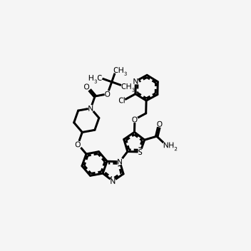 CC(C)(C)OC(=O)N1CCC(Oc2ccc3ncn(-c4cc(OCc5cccnc5Cl)c(C(N)=O)s4)c3c2)CC1